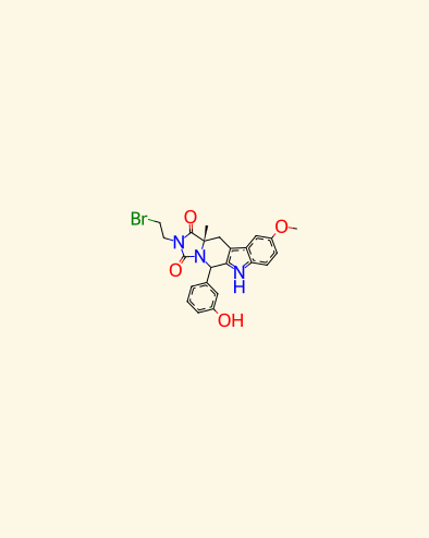 COc1ccc2[nH]c3c(c2c1)C[C@@]1(C)C(=O)N(CCBr)C(=O)N1C3c1cccc(O)c1